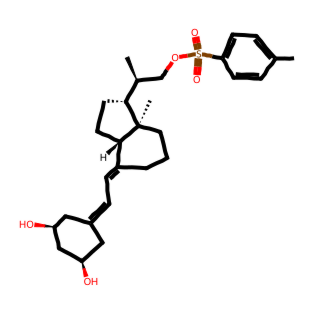 Cc1ccc(S(=O)(=O)OC[C@H](C)[C@H]2CC[C@H]3/C(=C/C=C4/C[C@@H](O)C[C@@H](O)C4)CCC[C@]23C)cc1